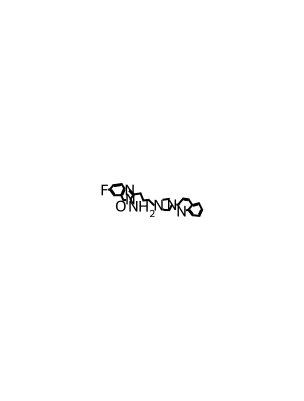 Nn1c(CCCCN2CCN(c3ccc4ccccc4n3)CC2)nc2ccc(F)cc2c1=O